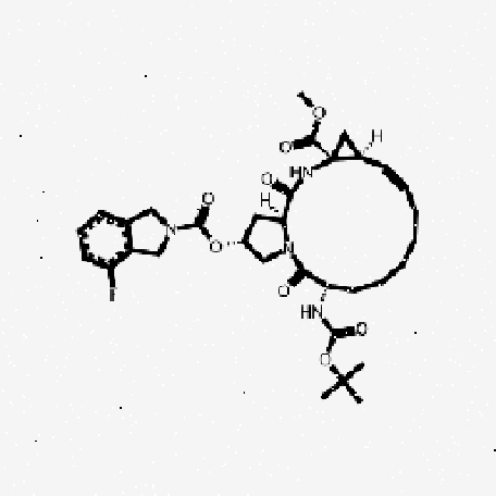 COC(=O)[C@@]12C[C@H]1/C=C\CCCCC[C@H](NC(=O)OC(C)(C)C)C(=O)N1C[C@H](OC(=O)N3Cc4cccc(F)c4C3)C[C@H]1C(=O)N2